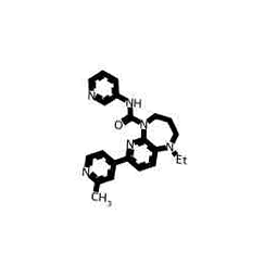 CCN1CCCN(C(=O)Nc2cccnc2)c2nc(-c3ccnc(C)c3)ccc21